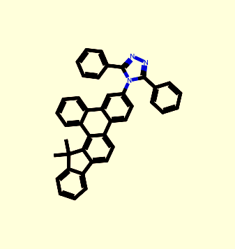 CC1(C)c2ccccc2-c2ccc3c4ccc(-n5c(-c6ccccc6)nnc5-c5ccccc5)cc4c4ccccc4c3c21